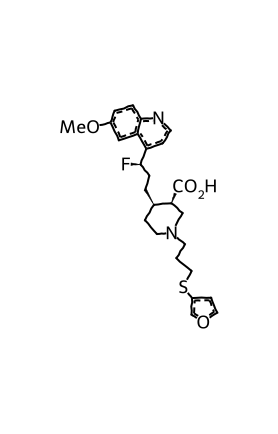 COc1ccc2nccc([C@H](F)CC[C@@H]3CCN(CCCSc4ccoc4)C[C@@H]3C(=O)O)c2c1